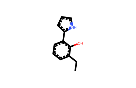 CCc1cccc(-c2ccc[nH]2)c1O